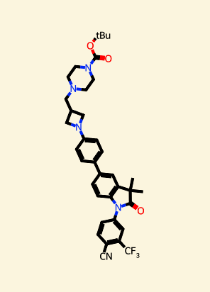 CC(C)(C)OC(=O)N1CCN(CC2CN(c3ccc(-c4ccc5c(c4)C(C)(C)C(=O)N5c4ccc(C#N)c(C(F)(F)F)c4)cc3)C2)CC1